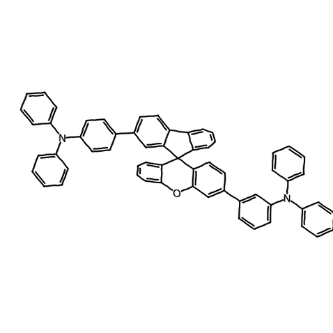 c1ccc(N(c2ccccc2)c2ccc(-c3ccc4c(c3)C3(c5ccccc5Oc5cc(-c6cccc(N(c7ccccc7)c7ccccc7)c6)ccc53)c3ccccc3-4)cc2)cc1